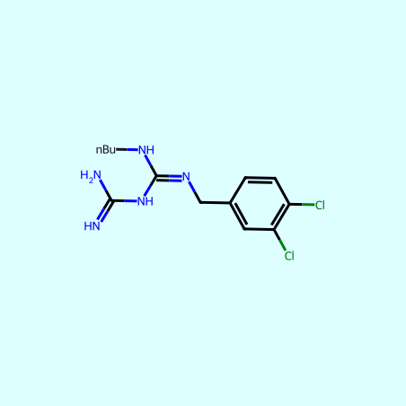 CCCCNC(=NCc1ccc(Cl)c(Cl)c1)NC(=N)N